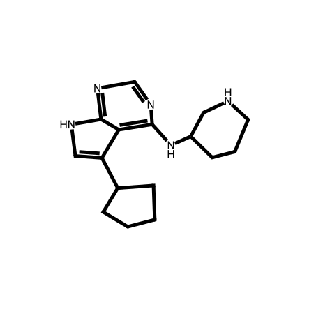 c1nc(NC2CCCNC2)c2c(C3CCCC3)c[nH]c2n1